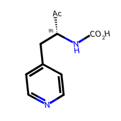 CC(=O)[C@@H](Cc1ccncc1)NC(=O)O